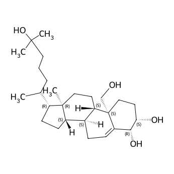 CC(CCCC(C)(C)O)[C@H]1CC[C@H]2[C@@H]3CC=C4[C@@H](O)[C@@H](O)CC[C@]4(CO)[C@H]3CC[C@]12C